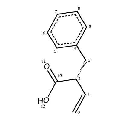 C=C[C@@H](Cc1ccccc1)C(=O)O